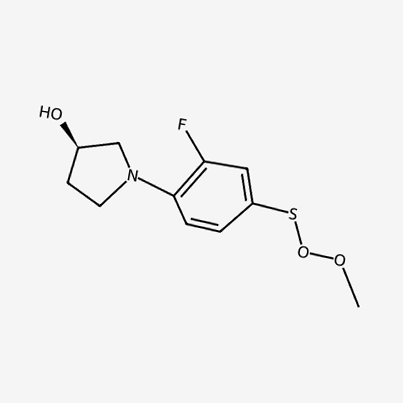 COOSc1ccc(N2CC[C@@H](O)C2)c(F)c1